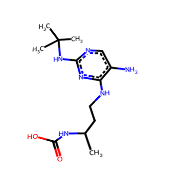 CC(CCNc1nc(NC(C)(C)C)ncc1N)NC(=O)O